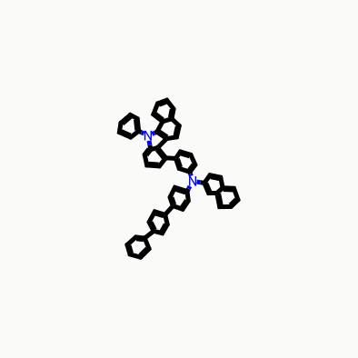 c1ccc(-c2ccc(-c3ccc(N(c4cccc(-c5cccc6c5c5ccc7ccccc7c5n6-c5ccccc5)c4)c4ccc5ccccc5c4)cc3)cc2)cc1